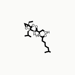 CC[C@]1(C(=O)[C@H](CC(C)C)NC(=O)C(CO)NC(=O)CCCCC(C)C)CO1